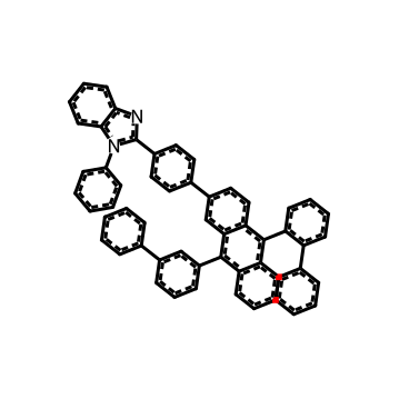 c1ccc(-c2cccc(-c3c4ccccc4c(-c4ccccc4-c4ccccc4)c4ccc(-c5ccc(-c6nc7ccccc7n6-c6ccccc6)cc5)cc34)c2)cc1